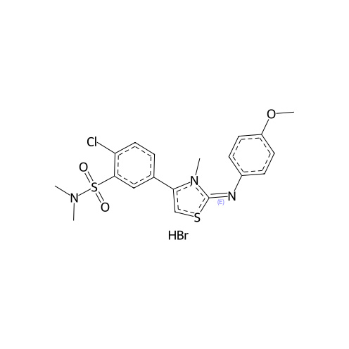 Br.COc1ccc(/N=c2/scc(-c3ccc(Cl)c(S(=O)(=O)N(C)C)c3)n2C)cc1